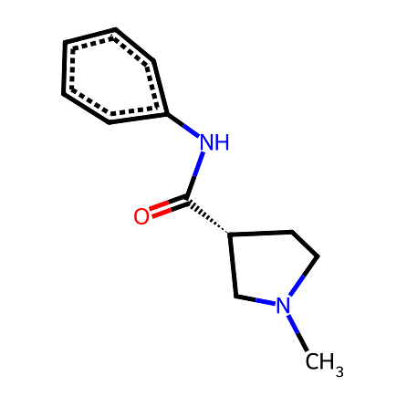 CN1CC[C@@H](C(=O)Nc2ccccc2)C1